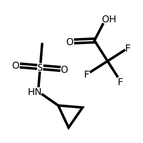 CS(=O)(=O)NC1CC1.O=C(O)C(F)(F)F